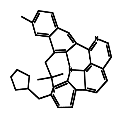 Cc1ccc2cc3c4nccc5ccc6c7ccc(CC8CCCC8)cc7n(c3c(CC(C)(C)C)c2c1)c6c54